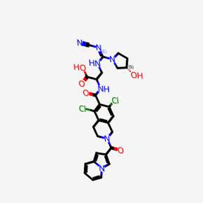 N#C/N=C(\NCC(NC(=O)c1c(Cl)cc2c(c1Cl)CCN(C(=O)c1cc3ccccn3c1)C2)C(=O)O)N1CC[C@H](O)C1